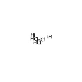 Cl.Cl.Cl.I.I